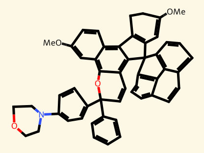 COC1=CC2=C(CC1)c1c(c3c(c4cc(OC)ccc14)OC(c1ccccc1)(c1ccc(N4CCOCC4)cc1)C=C3)C21c2cccc3ccc4cccc1c4c23